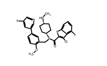 CN[C@H]1CC[C@@H](N(Cc2cc(-c3cncc(F)c3)ccc2OC)C(=O)c2sc3cccc(F)c3c2Cl)CC1